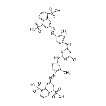 Cc1cc(Nc2nc(Cl)nc(Nc3ccc(/N=N/c4cc(S(=O)(=O)O)c5cccc(S(=O)(=O)O)c5c4)c(C)c3)n2)ccc1/N=N/c1cc(S(=O)(=O)O)c2cccc(S(=O)(=O)O)c2c1